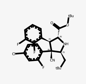 CC(C)(C)C[C@@H]1N[C@@H](C(=O)OC(C)(C)C)[C@H](c2cccc(F)c2F)[C@@]1(C#N)c1ccc(Cl)cc1F